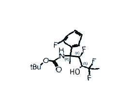 CC(C)(C)OC(=O)N[C@](C)(c1ccccc1F)[C@@H](F)[C@H](O)C(C)(F)F